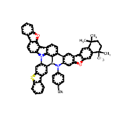 CC(C)(C)c1ccc(N2B3c4cc5c(cc4-n4c6ccc7c8ccccc8oc7c6c6ccc(c3c64)-c3cc4c(cc32)oc2cc3c(cc24)C(C)(C)CCC3(C)C)sc2ccccc25)cc1